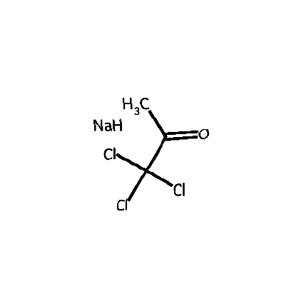 CC(=O)C(Cl)(Cl)Cl.[NaH]